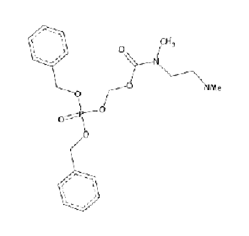 CNCCN(C)C(=O)OCOP(=O)(OCc1ccccc1)OCc1ccccc1